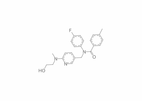 Cc1ccc(C(=O)N(Cc2ccc(N(C)CCO)nc2)c2ccc(F)cc2)cc1